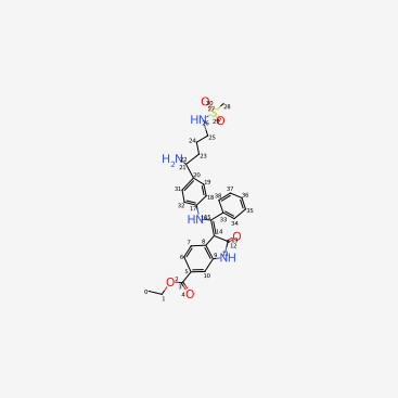 CCOC(=O)c1ccc2c(c1)NC(=O)C2=C(Nc1ccc(C(N)CCCNS(C)(=O)=O)cc1)c1ccccc1